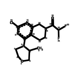 CC1COCCN1c1nc(Cl)nc2c1CCN(C(=O)C(F)F)C2